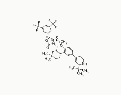 COc1ccc(C2=CC(C(C)(C)C)NCC2)cc1C1=C(CN2C(=O)O[C@H](c3cc(C(F)(F)F)cc(C(F)(F)F)c3)[C@@H]2C)CC(C)(C)CC1